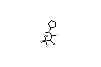 [CH2]CC(C(N)N(C)C1CCCC1)P(=O)(O)O